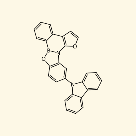 c1ccc2c(c1)B1Oc3ccc(-n4c5ccccc5c5ccccc54)cc3N1c1occc1-2